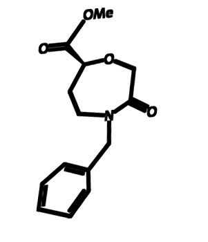 COC(=O)[C@@H]1CCN(Cc2ccccc2)C(=O)CO1